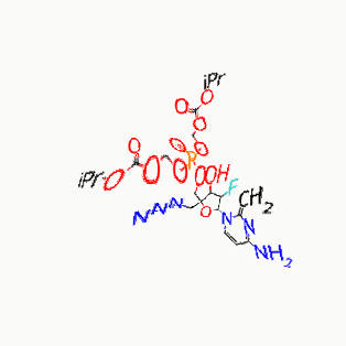 C=C1N=C(N)C=CN1[C@@H]1O[C@](CN=[N+]=[N-])(COP(=O)(OCOC(=O)OC(C)C)OCOC(=O)OC(C)C)[C@@H](O)[C@H]1F